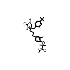 COC(=O)C(C)(C)Oc1ccc(CCCC2(Cc3ccc(C(C)(C)C)cc3)CNC(=O)N2C)cc1C